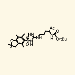 CC(=O)[C@H](CCCNC(=N)NS(=O)(=O)c1c(C)c(C)c2c(c1C)CC(C)(C)O2)NC(=O)OC(C)(C)C